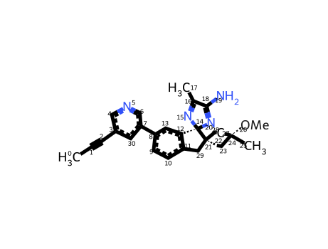 CC#Cc1cncc(-c2ccc3c(c2)[C@@]2(N=C(C)C(N)=N2)[C@]2(CC[C@@](C)(OC)CC2)C3)c1